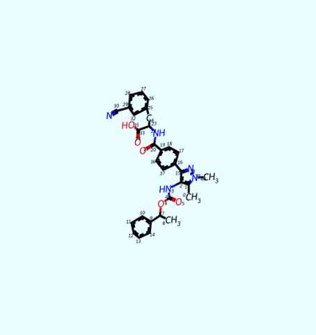 Cc1c(NC(=O)OC(C)c2ccccc2)c(-c2ccc(C(=O)NC(Cc3cccc(C#N)c3)C(=O)O)cc2)nn1C